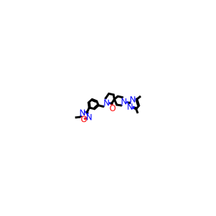 Cc1cc(C)nc(N2CCC3(CCCN(Cc4cccc(-c5noc(C)n5)c4)C3=O)CC2)n1